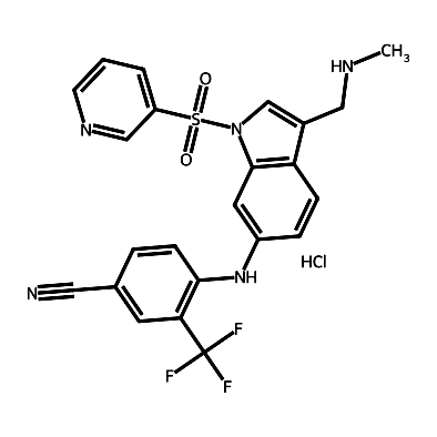 CNCc1cn(S(=O)(=O)c2cccnc2)c2cc(Nc3ccc(C#N)cc3C(F)(F)F)ccc12.Cl